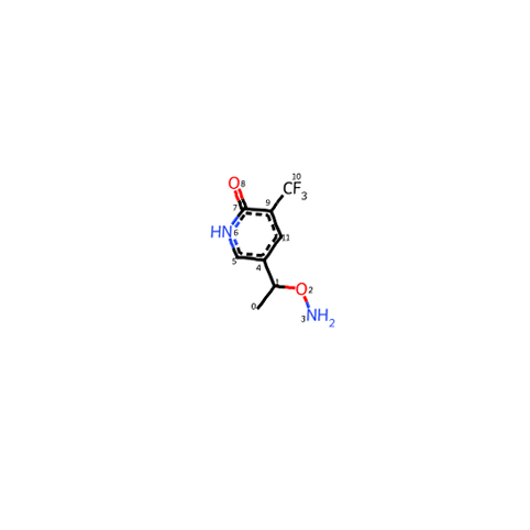 CC(ON)c1c[nH]c(=O)c(C(F)(F)F)c1